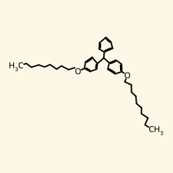 CCCCCCCCCCOc1ccc(C(c2ccccc2)c2ccc(OCCCCCCCCCC)cc2)cc1